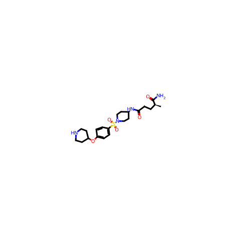 C[C@@H](C[CH]C(=O)NC1CCN(S(=O)(=O)c2ccc(OC3CCNCC3)cc2)CC1)C(N)=O